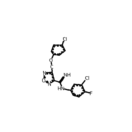 N=C(Nc1ccc(F)c(Cl)c1)c1nonc1COc1ccc(Cl)cc1